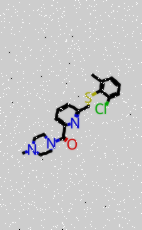 Cc1cccc(Cl)c1SCc1cccc(C(=O)N2CCN(C)CC2)n1